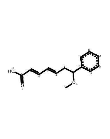 COC(CC=CC=CC(=O)O)c1ccccc1